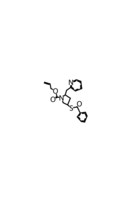 C=CCOC(=O)N1CC(SC(=O)c2ccccc2)CC1Cc1ccccn1